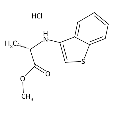 COC(=O)[C@H](C)Nc1csc2ccccc12.Cl